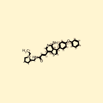 CCN1CCCC1CNC(=O)/C=C/c1cnc(N)c2c(-c3ccc(Oc4ccccc4)cc3)csc12